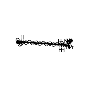 CCCN(OCCNC(=O)NCCOCCOCCOCCOCCOCCOCCOCCOCCOCCOCCNC(=O)CN1C(=O)C=CC1=O)C(=O)C1=Cc2ccccc2N=C(N)C1